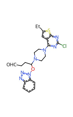 CCc1cc2c(N3CCN(C(CCC=O)On4nnc5ccccc54)CC3)nc(Cl)nc2s1